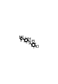 Clc1ccc(CNc2ccc(-n3ccnc3)cc2)c(Cl)c1